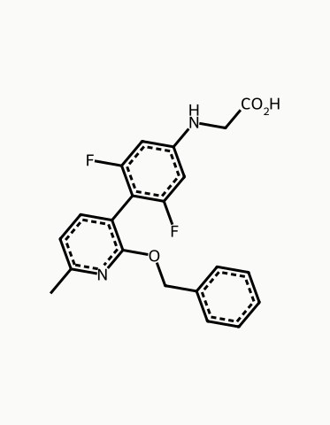 Cc1ccc(-c2c(F)cc(NCC(=O)O)cc2F)c(OCc2ccccc2)n1